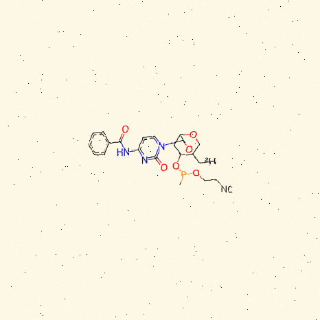 [2H]CC12COC(CC1OP(C)OCC[N+]#[C-])C(n1ccc(NC(=O)c3ccccc3)nc1=O)O2